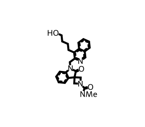 CNC(=O)N1CC2(C1)C(=O)N(Cc1ncc3ccccc3c1CCCCO)c1ccccc12